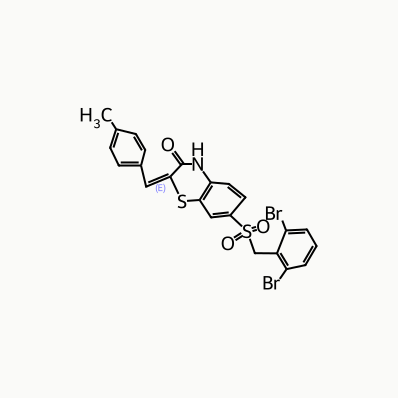 Cc1ccc(/C=C2/Sc3cc(S(=O)(=O)Cc4c(Br)cccc4Br)ccc3NC2=O)cc1